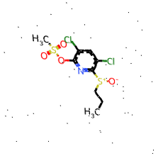 CCC[S+]([O-])c1nc(OS(C)(=O)=O)c(Cl)cc1Cl